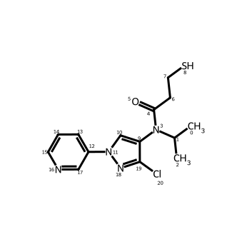 CC(C)N(C(=O)CCS)c1cn(-c2cccnc2)nc1Cl